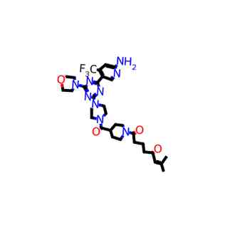 CC(C)=CC(=O)CCCC(=O)N1CCC(C(=O)N2CCN(c3nc(-c4cnc(N)cc4C(F)(F)F)nc(N4CCOCC4)n3)CC2)CC1